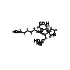 CCCCCCCCCCCCCCC#CC(CC(=O)O)[N+]1(C(C)OCC(=O)O)C=NCC1.[OH-]